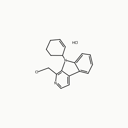 Cl.ClCc1nccc2c3ccccc3n(C3C=CCCC3)c12